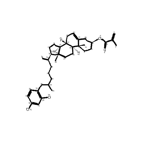 C=C(C)C(=O)O[C@H]1CC[C@@]2(C)C(=CC[C@H]3[C@@H]4CC[C@H](C(C)CCCC(C)Cc5ccc(Cl)cc5Cl)[C@@]4(C)CC[C@@H]32)C1